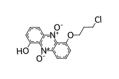 [O-][n+]1c2cccc(OCCCCl)c2[n+]([O-])c2cccc(O)c21